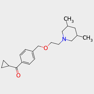 CC1CC(C)CN(CCOCc2ccc(C(=O)C3CC3)cc2)C1